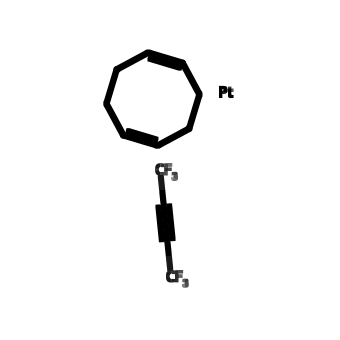 C1=C\CC/C=C\CC/1.FC(F)(F)C#CC(F)(F)F.[Pt]